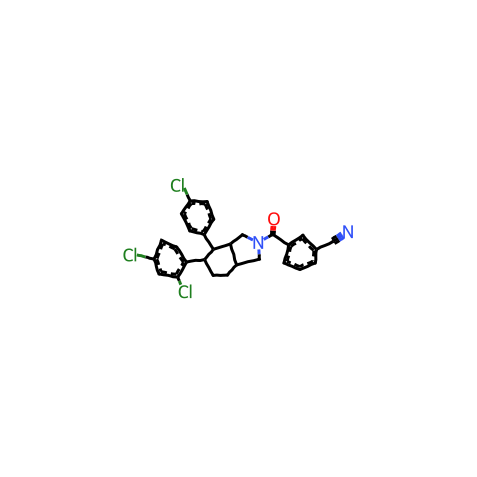 N#Cc1cccc(C(=O)N2CC3CCC(c4ccc(Cl)cc4Cl)C(c4ccc(Cl)cc4)C3C2)c1